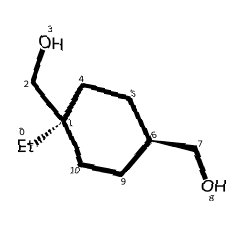 CC[C@]1(CO)CC[C@@H](CO)CC1